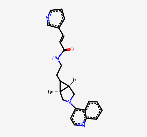 O=C(/C=C/c1cccnc1)NCCC1[C@H]2CN(c3ccnc4ccccc34)C[C@@H]12